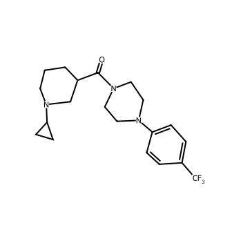 O=C(C1CCCN(C2CC2)C1)N1CCN(c2ccc(C(F)(F)F)cc2)CC1